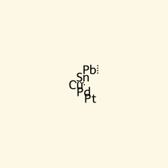 [Cu].[Pb].[Pd].[Pt].[Sn]